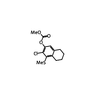 COC(=O)Oc1cc2c(c(SC)c1Cl)CCCC2